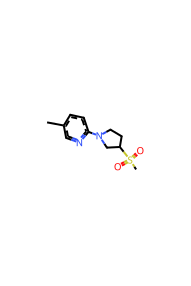 Cc1ccc(N2CCC(S(C)(=O)=O)C2)nc1